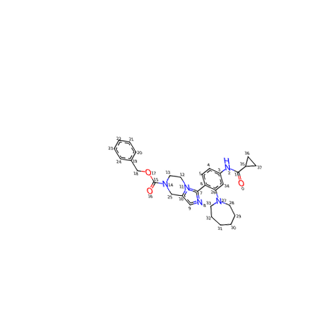 O=C(Nc1ccc(-c2ncc3n2CCN(C(=O)OCc2ccccc2)C3)c(N2CCCCCC2)c1)C1CC1